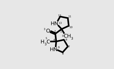 CC1(C(=O)C2(C)CCCN2)CCCN1